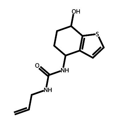 C=CCNC(=O)NC1CCC(O)c2sccc21